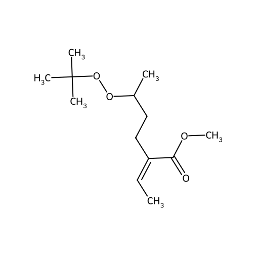 CC=C(CCC(C)OOC(C)(C)C)C(=O)OC